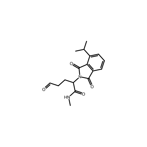 CNC(=O)C(CCC=O)N1C(=O)c2cccc(C(C)C)c2C1=O